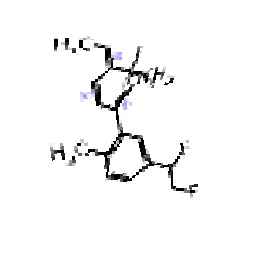 C\C=C(/C=C\C(=C/C)C(C)(F)F)c1cc(C(F)CF)ccc1C